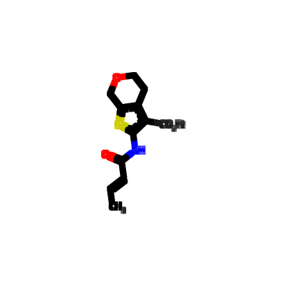 CC=CC(=O)Nc1sc2c(c1C(=O)OCC)CCOC2